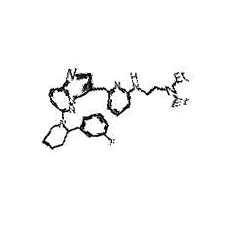 CCN(CC)CCNc1cccc(-c2cnc3ccc(N4CCCCC4c4cccc(F)c4)nn23)n1